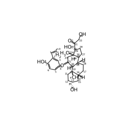 C=Cc1ccccc1O.C[C@]12CC[C@@H](O)C[C@H]1CC[C@@H]1[C@@H]2C(=O)C[C@@]2(C)[C@H]1CC[C@]2(O)C(=O)CO